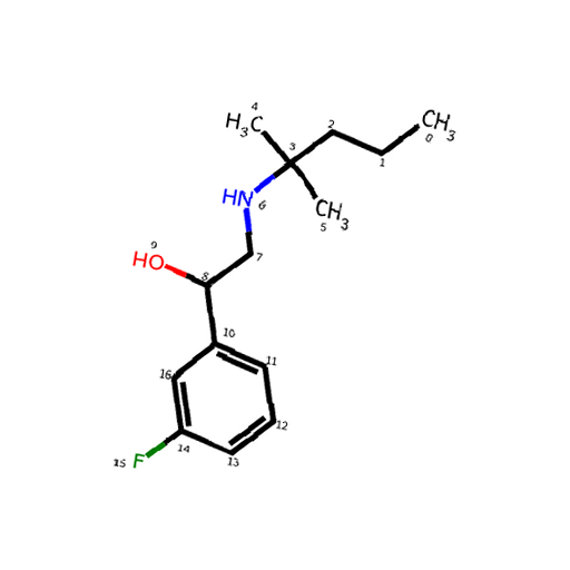 CCCC(C)(C)NCC(O)c1cccc(F)c1